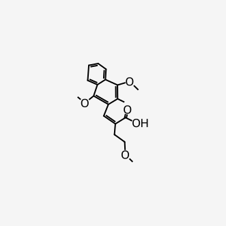 COCC/C(=C/c1c(C)c(OC)c2ccccc2c1OC)C(=O)O